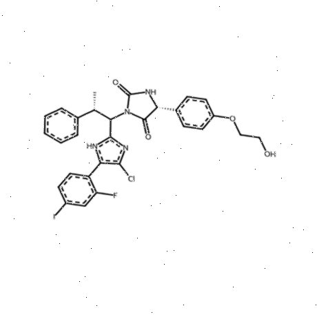 C[C@@H](c1ccccc1)C(c1nc(Cl)c(-c2ccc(I)cc2F)[nH]1)N1C(=O)N[C@H](c2ccc(OCCO)cc2)C1=O